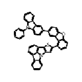 c1ccc(-n2c3ccccc3c3cc(-c4ccc5oc6cccc(-c7cc8c(s7)c7cccc9c%10ccccc%10n8c97)c6c5c4)ccc32)cc1